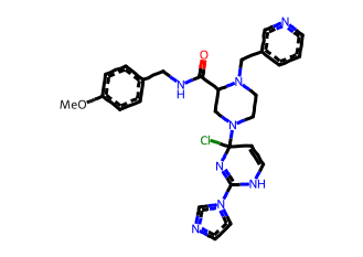 COc1ccc(CNC(=O)C2CN(C3(Cl)C=CNC(n4ccnc4)=N3)CCN2Cc2cccnc2)cc1